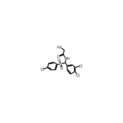 O=C(CS)NC(c1ccc(Cl)c(Cl)c1)S(=O)(=O)c1ccc(Cl)cc1